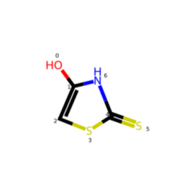 Oc1csc(=S)[nH]1